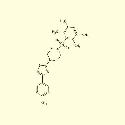 Cc1ccc(-c2csc(N3CCN(S(=O)(=O)c4c(C)c(C)cc(C)c4C)CC3)n2)cc1